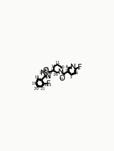 O=C(c1ccc(F)nc1)N1CCCC(c2nc(-c3ccccc3F)no2)C1